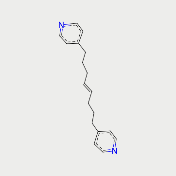 C(=CCCCc1ccncc1)CCCc1ccncc1